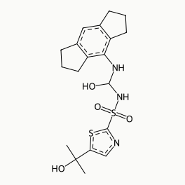 CC(C)(O)c1cnc(S(=O)(=O)NC(O)Nc2c3c(cc4c2CCC4)CCC3)s1